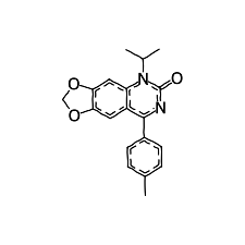 Cc1ccc(-c2nc(=O)n(C(C)C)c3cc4c(cc23)OCO4)cc1